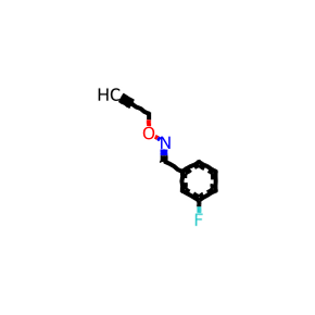 C#CCON=[C]c1cccc(F)c1